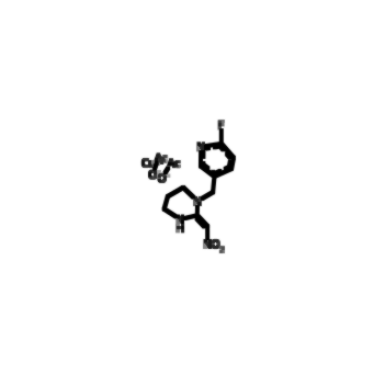 CC(=O)[O-].CC(=O)[O-].O=[N+]([O-])C=C1NCCCN1Cc1ccc(F)nc1.[Cu+2]